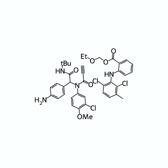 C#CC(=O)N(c1ccc(OC)c(Cl)c1)C(C(=O)NC(C)(C)C)c1ccc(N)cc1.CCOCOC(=O)c1ccccc1Nc1c(Cl)ccc(C)c1Cl